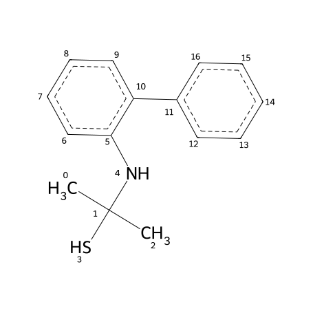 CC(C)(S)Nc1ccccc1-c1ccccc1